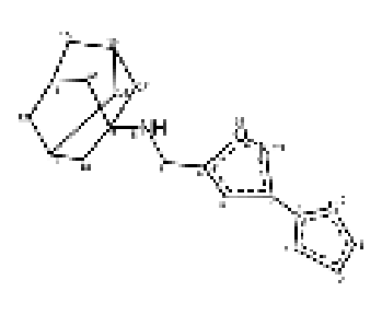 c1csc(-c2cc(CNC34CC5CC(CC(C5)C3)C4)on2)c1